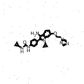 Nc1c(-c2ccc(NC(=O)NC3CC3)cc2)n(C2CC2)c2cc(OCCn3cncn3)ccc12